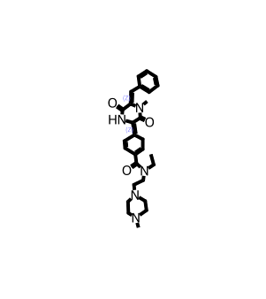 CCN(CCN1CCN(C)CC1)C(=O)C1=CC/C(=c2/[nH]c(=O)/c(=C/c3ccccc3)n(C)c2=O)C=C1